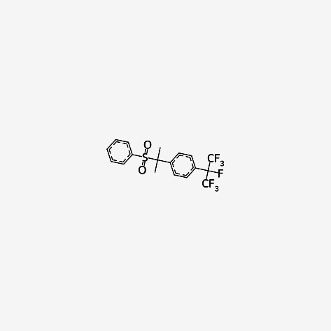 CC(C)(c1ccc(C(F)(C(F)(F)F)C(F)(F)F)cc1)S(=O)(=O)c1ccccc1